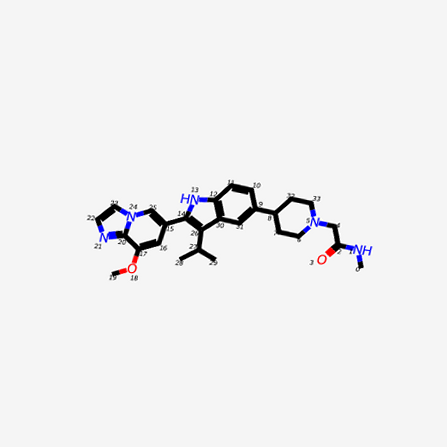 CNC(=O)CN1CCC(c2ccc3[nH]c(-c4cc(OC)c5nccn5c4)c(C(C)C)c3c2)CC1